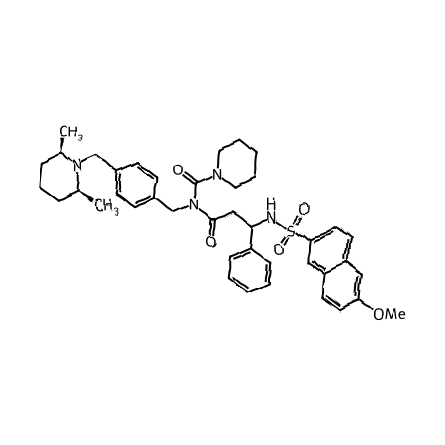 COc1ccc2cc(S(=O)(=O)NC(CC(=O)N(Cc3ccc(CN4[C@H](C)CCC[C@@H]4C)cc3)C(=O)N3CCCCC3)c3ccccc3)ccc2c1